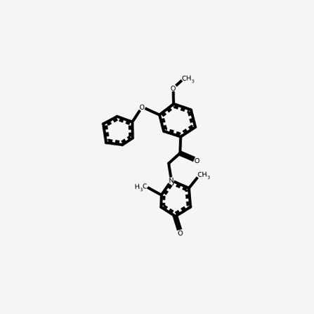 COc1ccc(C(=O)Cn2c(C)cc(=O)cc2C)cc1Oc1ccccc1